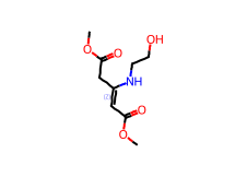 COC(=O)/C=C(/CC(=O)OC)NCCO